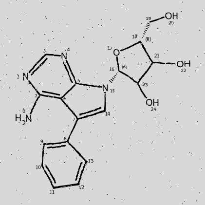 Nc1ncnc2c1c(-c1ccccc1)cn2[C@@H]1O[C@H](CO)C(O)C1O